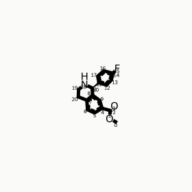 COC(=O)c1ccc2c(c1)[C@H](c1ccc(F)cc1)NCC2